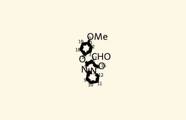 COc1ccc(Oc2nc3ccccn3c(=O)c2C=O)cc1